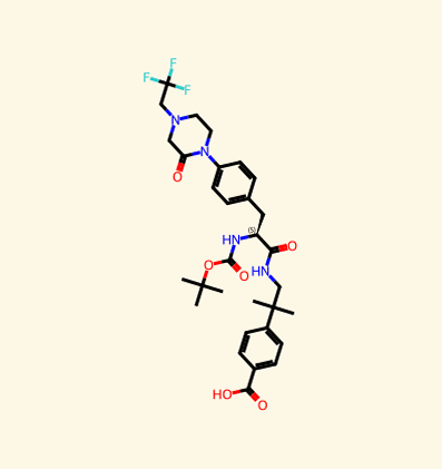 CC(C)(C)OC(=O)N[C@@H](Cc1ccc(N2CCN(CC(F)(F)F)CC2=O)cc1)C(=O)NCC(C)(C)c1ccc(C(=O)O)cc1